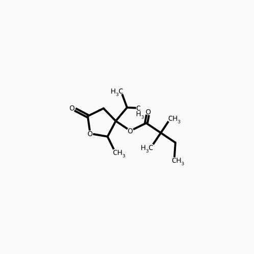 CCC(C)(C)C(=O)OC1(C(C)C)CC(=O)OC1C